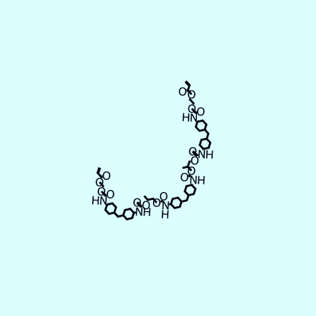 C=CC(=O)OCCOC(=O)NC1CCC(CC2CCC(NC(=O)OCC(C)OC(=O)NC3CCC(CC4CCC(NC(=O)OCC(C)OC(=O)NC5CCC(CC6CCC(NC(=O)OCOC(=O)C=C)CC6)CC5)CC4)CC3)CC2)CC1